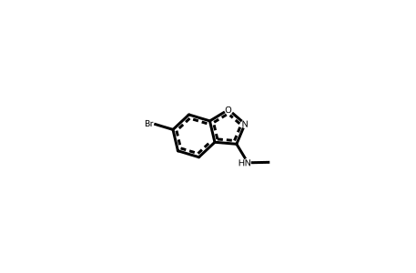 CNc1noc2cc(Br)ccc12